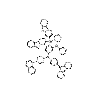 c1ccc(N2c3ccccc3[Si](c3ccc4c(c3)sc3ccccc34)(c3ccc4c(c3)sc3ccccc34)c3ccc(N(c4ccc(-c5cccc6ccccc56)cc4)c4ccc(-n5c6ccccc6c6ccccc65)cc4)cc32)cc1